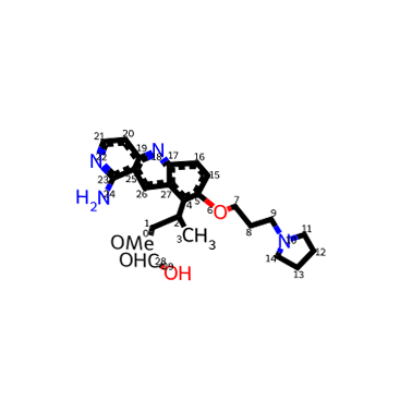 COCC(C)c1c(OCCCN2CCCC2)ccc2nc3ccnc(N)c3cc12.O=CO